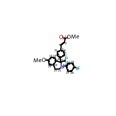 COC(=O)/C=C/c1ccc(C2(C(F)F)c3ccc(OC)cc3CCN2c2ccc(F)cc2)cc1